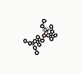 c1ccc(-c2ccc(-n3c4ccc(-c5ccccc5)cc4c4ccc5c(c43)-c3ccccc3C53c4ccccc4-c4c(-c5ccc(-c6nc(-c7cccc(-c8ccccc8)c7)nc(-n7c8ccccc8c8ccc9c(c87)-c7ccccc7C97c8ccccc8-c8ccccc87)n6)cc5)cccc43)cc2)cc1